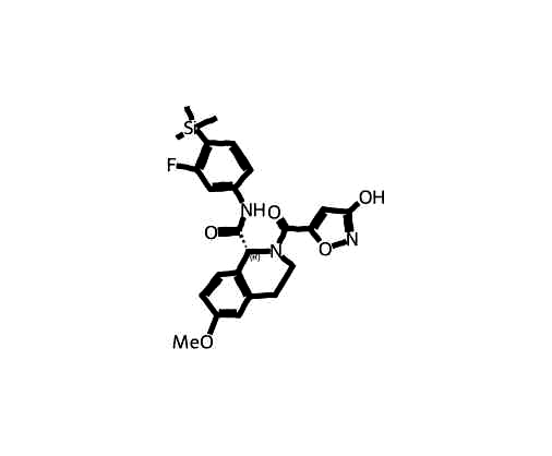 COc1ccc2c(c1)CCN(C(=O)c1cc(O)no1)[C@H]2C(=O)Nc1ccc([Si](C)(C)C)c(F)c1